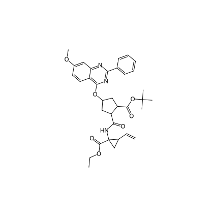 C=CC1CC1(NC(=O)C1CC(Oc2nc(-c3ccccc3)nc3cc(OC)ccc23)CC1C(=O)OC(C)(C)C)C(=O)OCC